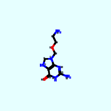 NCCOCN1CNc2c1nc(N)[nH]c2=O